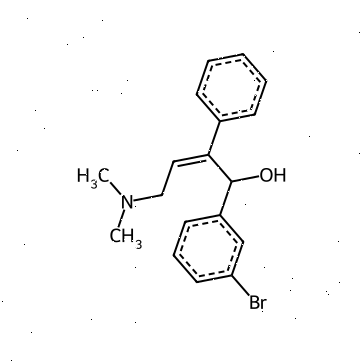 CN(C)C/C=C(/c1ccccc1)C(O)c1cccc(Br)c1